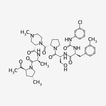 CC(=O)[C@@H]1C[C@@H](C)CN1C(=O)[C@H](C)NC(=O)[C@@H]1CN(C)CCN1C(=O)[C@@H]1CCCN1C(=O)[C@H](CO)NC(=O)[C@H](Cc1cccc(C)c1)NC(=O)Nc1cccc(Cl)c1